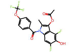 CC(=O)Oc1c(C)n(C(=O)c2ccc(OC(F)(F)F)cc2)c2cc(F)c(O)c(F)c12